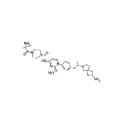 CC(Cc1ccc(-n2ccc(NC(=O)N3CCN(C(=O)C(C)(C)N)CC3)nc2=O)cc1)N1CCC2(CC(N)C2)C1.Cl